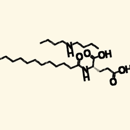 CCCCCCCCCCCC(=O)N[C@@H](CCC(=O)O)C(=O)O.CCCCNCCCC